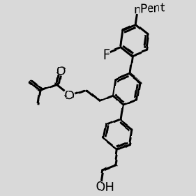 C=C(C)C(=O)OCCc1cc(-c2ccc(CCCCC)cc2F)ccc1-c1ccc(CCO)cc1